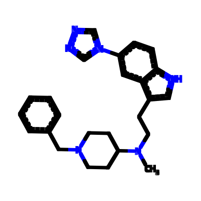 CN(CCc1c[nH]c2ccc(-n3cnnc3)cc12)C1CCN(Cc2ccccc2)CC1